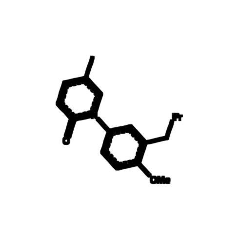 COc1ccc(-n2cc(C)ccc2=O)cc1CC(C)C